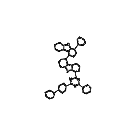 c1ccc(-c2ccc(-c3nc(-c4ccccc4)nc(-c4cccc5c4sc4cccc(-c6ccc(-c7ccccc7)c7oc8ccccc8c67)c45)n3)cc2)cc1